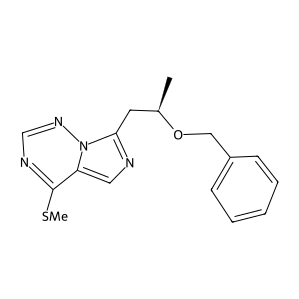 CSc1ncnn2c(C[C@@H](C)OCc3ccccc3)ncc12